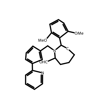 COc1cccc(OC)c1C1CCCCC(C=O)N1Cc1cccc(-c2ccccn2)c1